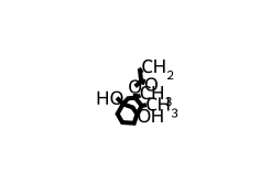 C=CC(=O)OC1(C)CC2(O)CCCC(O)(C2)C1C